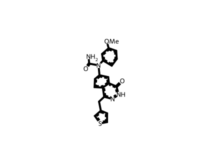 COc1cccc(N(C(N)=O)c2ccc3c(Cc4ccsc4)n[nH]c(=O)c3c2)c1